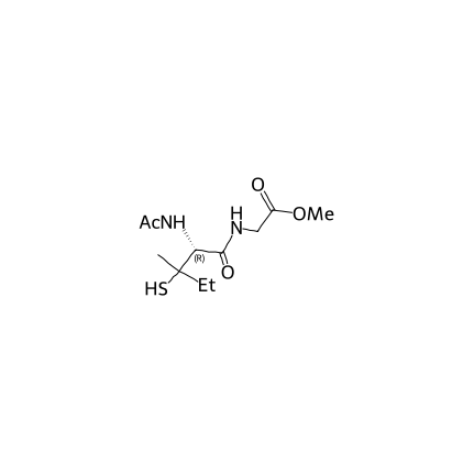 CCC(C)(S)[C@H](NC(C)=O)C(=O)NCC(=O)OC